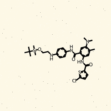 Cc1cc(NC(=O)c2ccc(Cl)s2)c(C(=O)Nc2ccc(NCCO[Si](C)(C)C(C)(C)C)cc2)cc1N(C)C